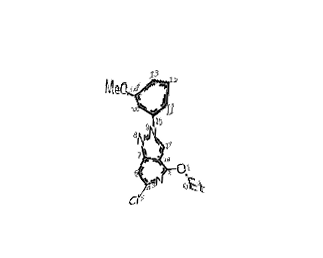 CCOc1nc(Cl)cc2nn(-c3cccc(OC)c3)cc12